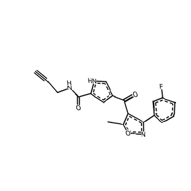 C#CCNC(=O)c1cc(C(=O)c2c(-c3cccc(F)c3)noc2C)c[nH]1